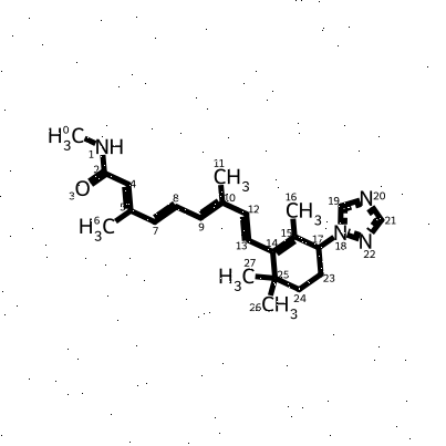 CNC(=O)C=C(C)C=CC=C(C)C=CC1=C(C)C(n2cncn2)CCC1(C)C